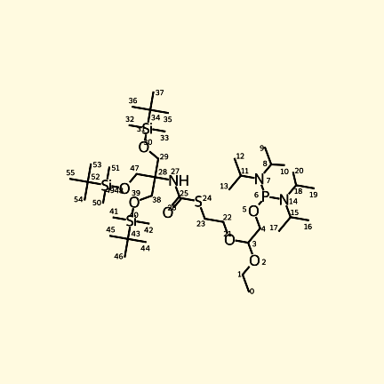 CCOC(COP(N(C(C)C)C(C)C)N(C(C)C)C(C)C)OCCSC(=O)NC(CO[Si](C)(C)C(C)(C)C)(CO[Si](C)(C)C(C)(C)C)CO[Si](C)(C)C(C)(C)C